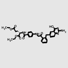 CCOC(=O)CC[C@H](NC(=O)c1ccc(NCC(=O)c2ccccc2Cc2ccc3nc(N)nc(O)c3c2)cc1)C(=O)OCC